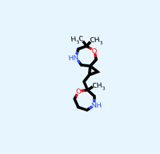 CC1(C)CNCC2(CO1)CC2CC1(C)CNCCCO1